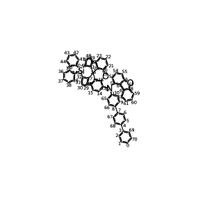 c1ccc(-c2ccc(-c3ccc(N(c4cccc5c4Oc4ccccc4C54c5ccccc5[Si](c5ccccc5)(c5ccccc5)c5ccccc54)c4cccc5oc6ccccc6c45)cc3)cc2)cc1